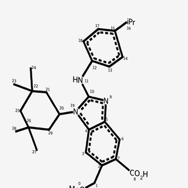 COCc1cc2c(cc1C(=O)O)nc(Nc1ccc(C(C)C)cc1)n2C1CC(C)(C)CC(C)(C)C1